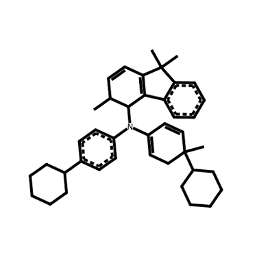 CC1C=CC2=C(c3ccccc3C2(C)C)C1N(C1=CCC(C)(C2CCCCC2)C=C1)c1ccc(C2CCCCC2)cc1